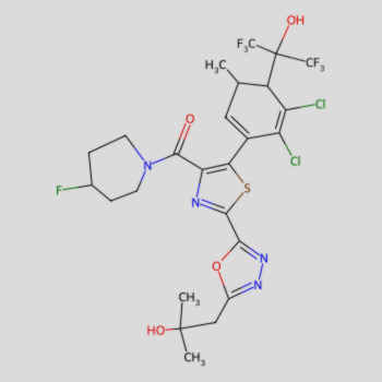 CC1C=C(c2sc(-c3nnc(CC(C)(C)O)o3)nc2C(=O)N2CCC(F)CC2)C(Cl)=C(Cl)C1C(O)(C(F)(F)F)C(F)(F)F